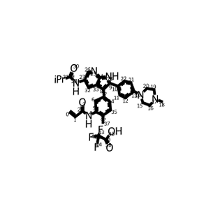 C=CC(=O)Nc1cc(-c2c(-c3ccc(N4CCN(C)CC4)cc3)[nH]c3ncc(NC(=O)C(C)C)cc23)ccc1C.O=C(O)C(F)(F)F